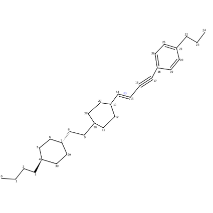 CCCC[C@H]1CC[C@H](CCC2CCC(/C=C/C#Cc3ccc(CCC)cc3)CC2)CC1